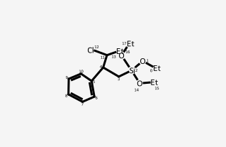 CCO[Si](CC(c1ccccc1)C(Cl)CC)(OCC)OCC